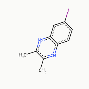 Cc1nc2ccc(I)cc2nc1C